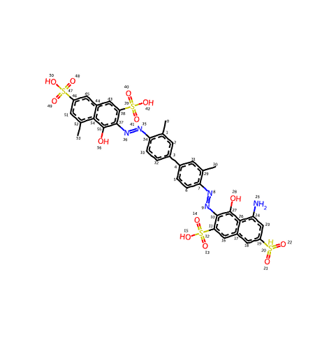 Cc1cc(-c2ccc(N=Nc3c(S(=O)(=O)O)cc4cc([SH](=O)=O)cc(N)c4c3O)c(C)c2)ccc1N=Nc1c(S(=O)(=O)O)cc2cc(S(=O)(=O)O)cc(C)c2c1O